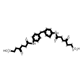 O=C(O)CCC(=O)CCC(=O)Nc1ccc(Cc2ccc(NC(=O)CCC(=O)CCC(=O)O)cc2)cc1